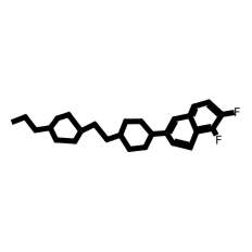 CCCC1CCC(CCC2CCC(c3ccc4c(F)c(F)ccc4c3)CC2)CC1